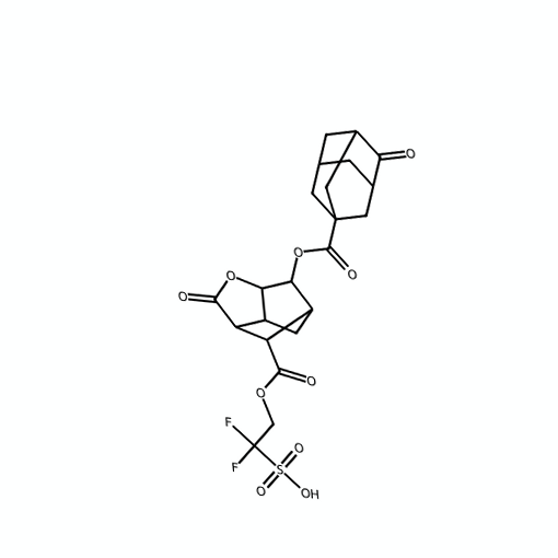 O=C1C2CC3CC1CC(C(=O)OC1C4CC5C1OC(=O)C5C4C(=O)OCC(F)(F)S(=O)(=O)O)(C3)C2